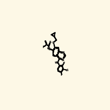 C=C(F)C(=O)Nc1cc2c(Nc3ccc(F)c(Cl)c3F)ncnc2cc1OCC1CC1